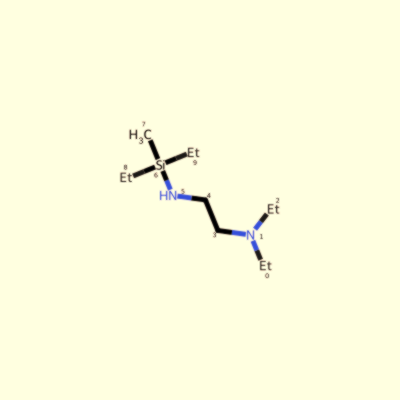 CCN(CC)CCN[Si](C)(CC)CC